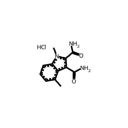 Cc1cccc2c1c(C(N)=O)c(C(N)=O)n2C.Cl